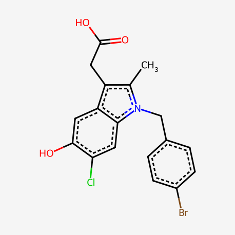 Cc1c(CC(=O)O)c2cc(O)c(Cl)cc2n1Cc1ccc(Br)cc1